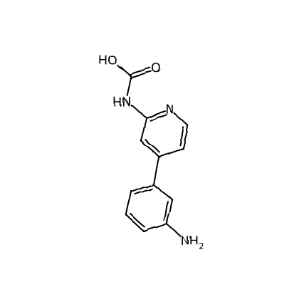 Nc1cccc(-c2ccnc(NC(=O)O)c2)c1